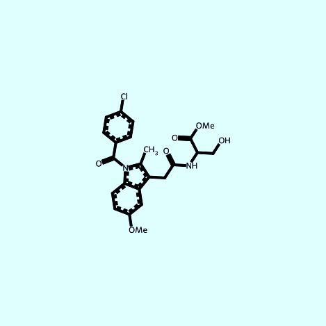 COC(=O)C(CO)NC(=O)Cc1c(C)n(C(=O)c2ccc(Cl)cc2)c2ccc(OC)cc12